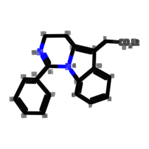 CCOC(=O)Cc1c2n(c3ccccc13)C(c1ccccc1)=NCC2